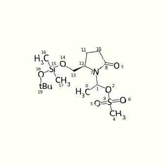 CC(OS(C)(=O)=O)N1C(=O)CC[C@@H]1CO[Si](C)(C)OC(C)(C)C